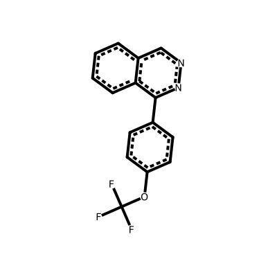 FC(F)(F)Oc1ccc(-c2nncc3ccccc23)cc1